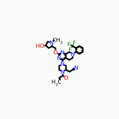 C=CC(=O)N1CCN(c2nc(OCC3C[C@@H](O)CN3C)nc3c2CCN(c2ccccc2C(F)(F)F)C3)CC1CC#N